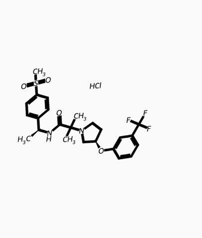 C[C@H](NC(=O)C(C)(C)N1CC[C@@H](Oc2cccc(C(F)(F)F)c2)C1)c1ccc(S(C)(=O)=O)cc1.Cl